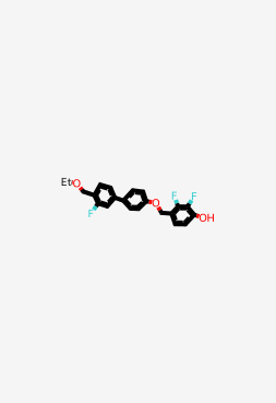 CCOCc1ccc(-c2ccc(OCc3ccc(O)c(F)c3F)cc2)cc1F